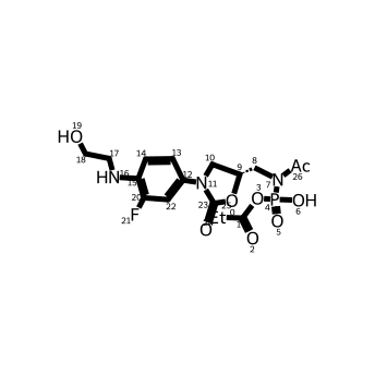 CCC(=O)OP(=O)(O)N(C[C@H]1CN(c2ccc(NCCO)c(F)c2)C(=O)O1)C(C)=O